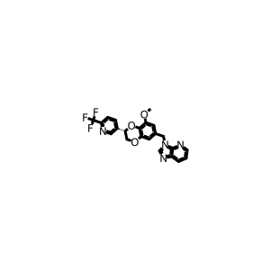 COc1cc(Cn2cnc3cccnc32)cc2c1O[C@@H](c1ccc(C(F)(F)F)nc1)CO2